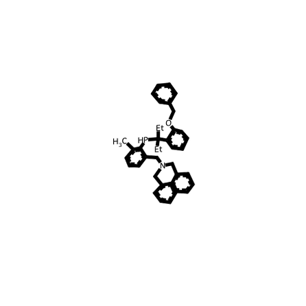 CCC(CC)(Pc1c(C)cccc1CN(Cc1ccccc1)Cc1ccccc1)c1ccccc1OCc1ccccc1